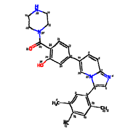 Cc1cc(-c2cnc3ccc(-c4ccc(C(=O)N5CCNCC5)c(O)c4)cn23)c(C)cc1C#N